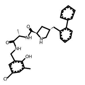 Cc1cc(Cl)cc(CNC(=O)[C@H](C)NC(=O)[C@H]2C[C@H](Cc3ccccc3-c3ccccc3)CN2)c1O